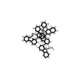 Cp1c2ccccc2c2cccc(-c3cccc4c(-c5cc6ccccc6c6c5C5(c7ccccc7-c7ccccc75)c5ccccc5-6)c5cccc(-c6cccc7c8ccccc8p(C)c67)c5cc34)c21